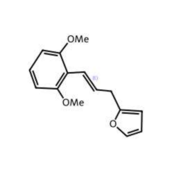 COc1cccc(OC)c1/C=C/Cc1ccco1